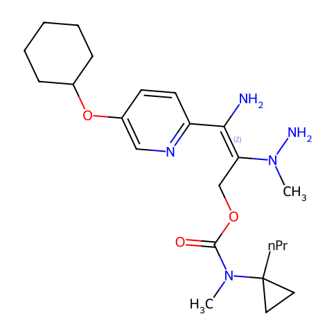 CCCC1(N(C)C(=O)OC/C(=C(/N)c2ccc(OC3CCCCC3)cn2)N(C)N)CC1